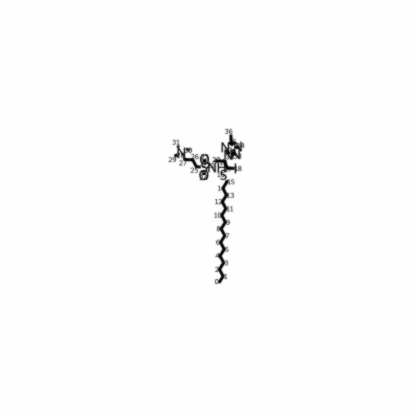 CCCCCCCCCCCCCCCCSC(I)C(CNS(=O)(=O)CCC[N+](C)(C)C)n1nnc(C)n1